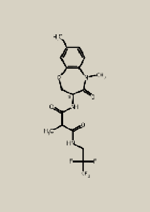 Cc1ccc2c(c1)OC[C@H](NC(=O)C(C)C(=O)NCC(F)(F)C(F)(F)F)C(=O)N2C